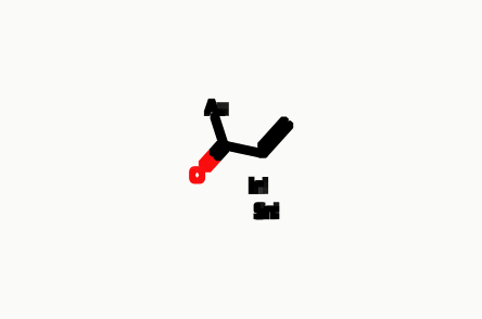 C=C[C](=O)[Au].[In].[Sn]